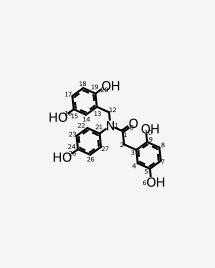 O=C(Cc1cc(O)ccc1O)N(Cc1cc(O)ccc1O)c1ccc(O)cc1